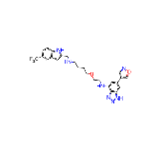 FC(F)(F)c1ccc2[nH]c(CNCCCCOCCNc3cc(-c4cnoc4)cc4[nH]nnc34)cc2c1